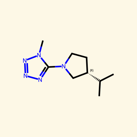 CC(C)[C@H]1CCN(c2nnnn2C)C1